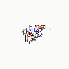 COc1cc2c(cc1OC)[C@H]1C[C@@H](COC(=O)[C@@H](N)c3ccccc3)[C@H](CC(C)C)CN1CC2